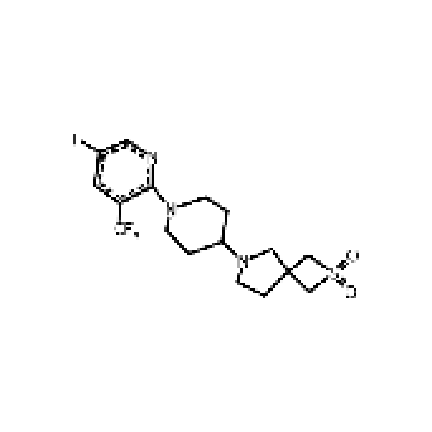 O=S1(=O)CC2(CCN(C3CCN(c4ncc(F)cc4C(F)(F)F)CC3)C2)C1